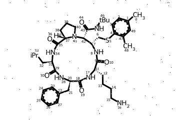 Cc1ccc(SC[C@@H]2NC(=O)[C@H](CCCCN)NC(=O)[C@@H](Cc3ccccc3)NC(=O)[C@@H](CC(C)C)NC(=O)[C@@H]3CCCN3[C@@H]2C(=O)NC(C)(C)C)c(C)c1